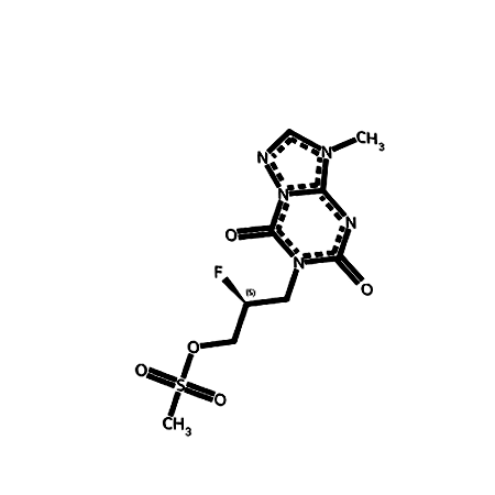 Cn1cnn2c(=O)n(C[C@H](F)COS(C)(=O)=O)c(=O)nc12